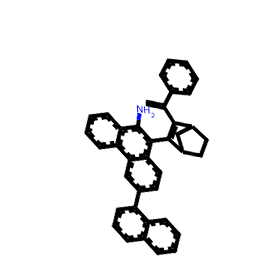 C=C(C1=C(c2c(N)c3ccccc3c3cc(-c4cccc5ccccc45)ccc23)C2CCC1C2)c1ccccc1